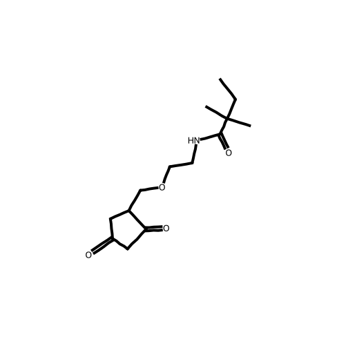 CCC(C)(C)C(=O)NCCOCC1CC(=O)CC1=O